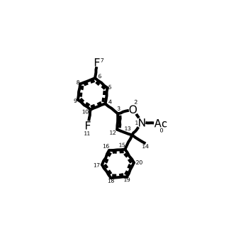 CC(=O)N1OC(c2cc(F)ccc2F)=CC1(C)c1ccccc1